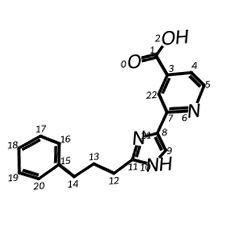 O=C(O)c1ccnc(-c2c[nH]c(CCCc3ccccc3)n2)c1